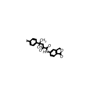 CC(C)(CC(=O)C(=O)Nc1ccc2c(c1)COC2=O)c1ccc(I)cc1